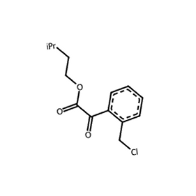 CC(C)CCOC(=O)C(=O)c1ccccc1CCl